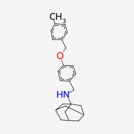 Cc1ccc(COc2ccc(CNC34CC5CC(CC(C5)C3)C4)cc2)cc1